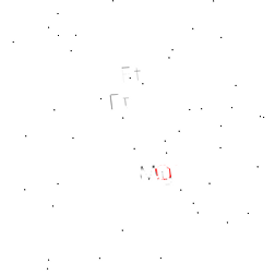 CCC[O-].C[CH2][Mg+]